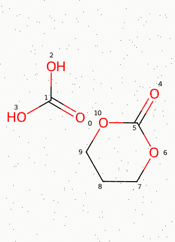 O=C(O)O.O=C1OCCCO1